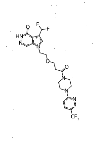 O=C(CCOCCn1cc(C(F)F)c2c(=O)[nH]ncc21)N1CCN(c2ccc(C(F)(F)F)cn2)CC1